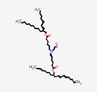 CCCCCCCCCCC(CCCCCCCC)COC(=O)CCCCCN(CCCCCC(=O)OCC(CCCCCCCC)CCCCCCCCCC)CCN=O